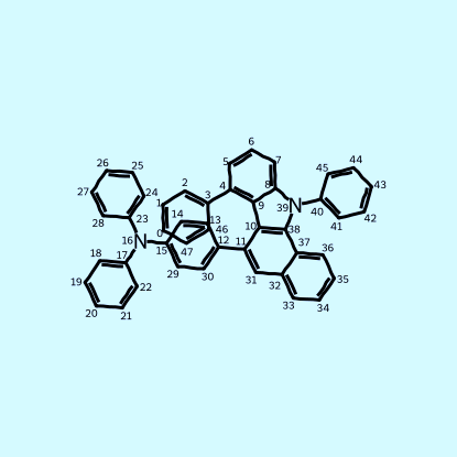 c1ccc(-c2cccc3c2c2c(-c4ccc(N(c5ccccc5)c5ccccc5)cc4)cc4ccccc4c2n3-c2ccccc2)cc1